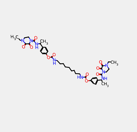 CCN1CCN(C(=O)NC(C)c2ccc(OC(=O)NCCCCCCCCCNC(=O)Oc3ccc(C(C)NC(=O)N4CCN(CC)C(=O)C4=O)cc3)cc2)C(=O)C1=O